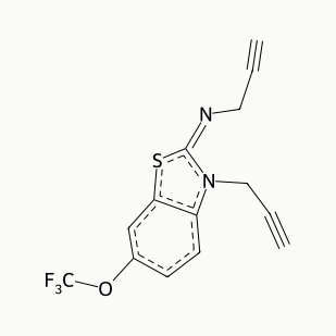 C#CCN=c1sc2cc(OC(F)(F)F)ccc2n1CC#C